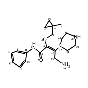 CC1(CO/C(C(=O)Nc2ccccc2)=C(/CN)N2CCNCC2)CC1